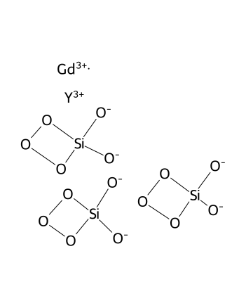 [Gd+3].[O-][Si]1([O-])OOO1.[O-][Si]1([O-])OOO1.[O-][Si]1([O-])OOO1.[Y+3]